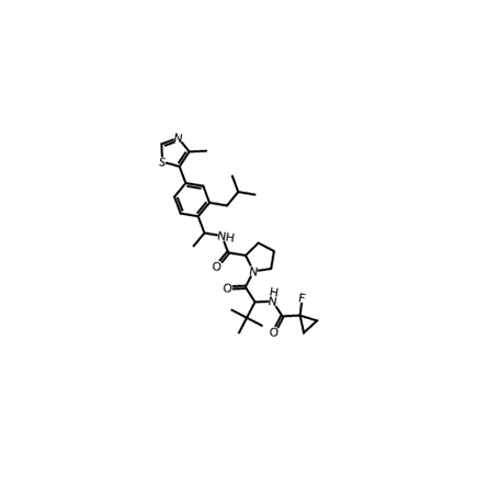 Cc1ncsc1-c1ccc(C(C)NC(=O)C2CCCN2C(=O)C(NC(=O)C2(F)CC2)C(C)(C)C)c(CC(C)C)c1